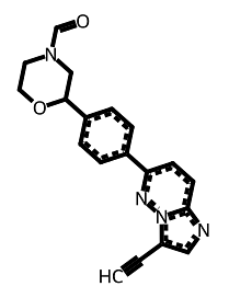 C#Cc1cnc2ccc(-c3ccc(C4CN(C=O)CCO4)cc3)nn12